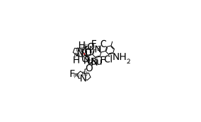 Cc1cc(N)c(Cl)c(-c2nc3c4c(nc(OC[C@@]56CCCN5C[C@H](F)C6)nc4c2F)N2C[C@H]4CC[C@@H]([C@H]2[C@H](C)O3)N4C(=O)OC(C)(C)C)c1C(F)(F)F